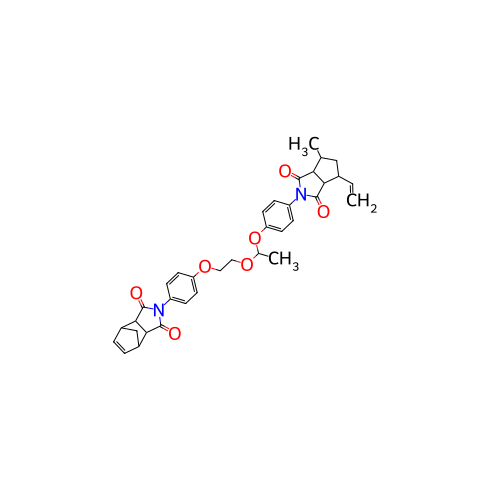 C=CC1CC(C)C2C(=O)N(c3ccc(OC(C)OCCOc4ccc(N5C(=O)C6C7C=CC(C7)C6C5=O)cc4)cc3)C(=O)C12